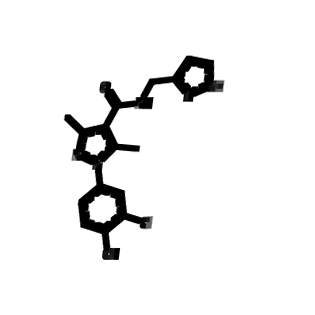 Cc1nn(-c2ccc(C#N)c(Cl)c2)c(C)c1C(=O)NCc1cc[nH]n1